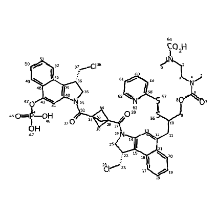 CN(CCN(C)C(=O)OCC(Cc1cc2c(c3ccccc13)[C@H](CCl)CN2C(=O)C12CC(C(=O)N3C[C@@H](CCl)c4c3cc(OP(=O)(O)O)c3ccccc43)(C1)C2)SSc1ccccn1)C(=O)O